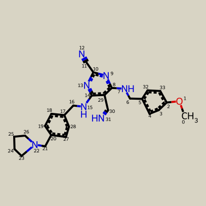 COc1ccc(CNc2nc(C#N)nc(NCc3ccc(CN4CCCC4)cc3)c2C=N)cc1